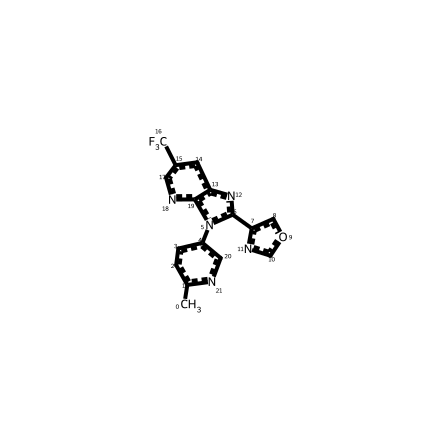 Cc1ccc(-n2c(-c3cocn3)nc3cc(C(F)(F)F)cnc32)cn1